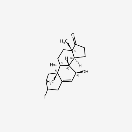 C[C@]12CCC(F)CC1=C[C@H](O)[C@@H]1[C@@H]2CC[C@]2(C)C(=O)CC[C@@H]12